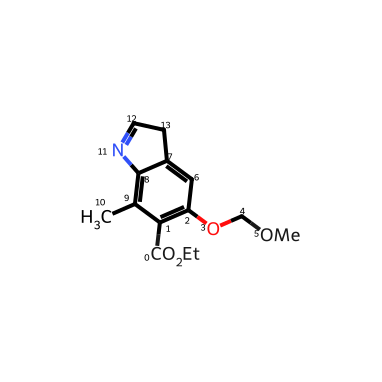 CCOC(=O)c1c(OCOC)cc2c(c1C)N=CC2